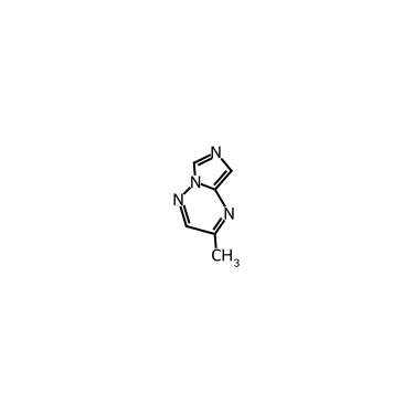 Cc1cnn2cncc2n1